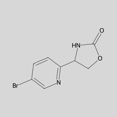 O=C1NC(c2ccc(Br)cn2)CO1